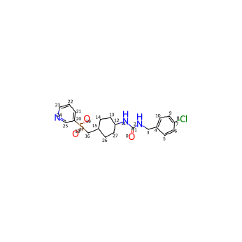 O=C(NCc1ccc(Cl)cc1)NC1CCC(CS(=O)(=O)c2cccnc2)CC1